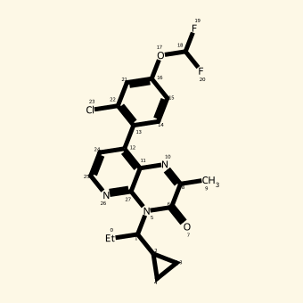 CCC(C1CC1)n1c(=O)c(C)nc2c(-c3ccc(OC(F)F)cc3Cl)ccnc21